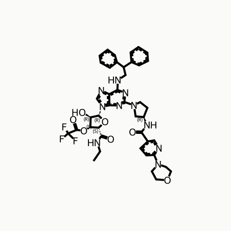 CCNC(=O)[C@H]1O[C@@H](n2cnc3c(NCC(c4ccccc4)c4ccccc4)nc(N4CC[C@@H](NC(=O)c5ccc(N6CCOCC6)nc5)C4)nc32)[C@H](O)[C@@H]1OC(=O)C(F)(F)F